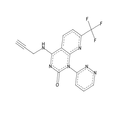 C#CCNc1nc(=O)n(-c2cccnn2)c2nc(C(F)(F)F)ccc12